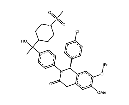 COc1cc2c(cc1OC(C)C)[C@H](c1ccc(Cl)cc1)N(c1ccc(C(C)(O)C3CCN(S(C)(=O)=O)CC3)cc1)C(=O)C2